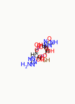 Cc1nc2c(ncn2[C@@H]2O[C@@H]3COP(=O)(CS)O[C@H]4[C@@H](O)[C@H](n5cnc6c(N)ncnc65)[C@H]5CC54COP(=O)(CO)O[C@@H]2[C@@H]3CO)c(=O)[nH]1